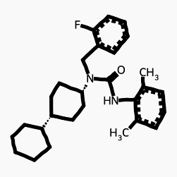 Cc1cccc(C)c1NC(=O)N(Cc1ccccc1F)[C@H]1CC[C@@H](C2CCCCC2)CC1